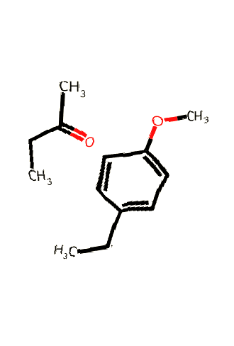 CCC(C)=O.C[CH]c1ccc(OC)cc1